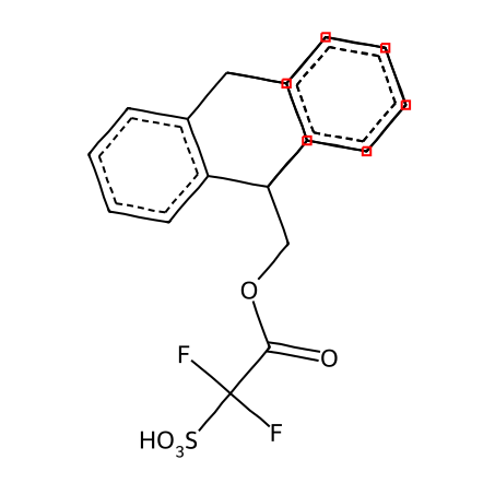 O=C(OCC12c3ccccc3C(c3ccccc31)c1ccccc12)C(F)(F)S(=O)(=O)O